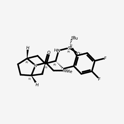 CNCC(=O)N1[C@@H]2CC[C@H]1C[C@H]([C@@H](Cc1cc(F)c(F)cc1F)N[S@@+]([O-])C(C)(C)C)C2